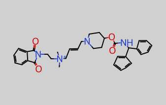 C[N+](C)(C/C=C/CN1CCC(OC(=O)NC(c2ccccc2)c2ccccc2)CC1)CCN1C(=O)c2ccccc2C1=O